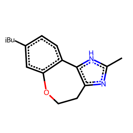 CCC(C)c1ccc2c(c1)OCCc1nc(C)[nH]c1-2